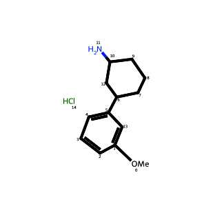 COc1cccc(C2CCCC(N)C2)c1.Cl